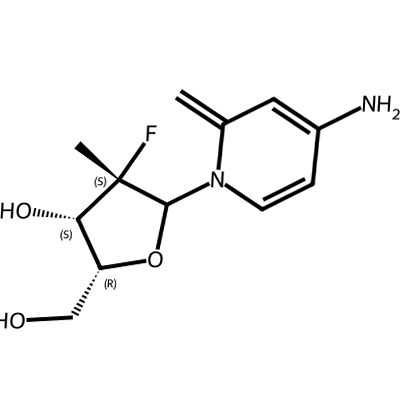 C=C1C=C(N)C=CN1C1O[C@H](CO)[C@H](O)[C@]1(C)F